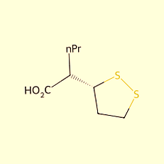 CCCC(C(=O)O)[C@H]1CCSS1